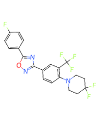 Fc1ccc(-c2nc(-c3ccc(N4CCC(F)(F)CC4)c(C(F)(F)F)c3)no2)cc1